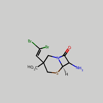 NC1C(=O)N2CC(C=C(Br)Br)(C(=O)O)CS[C@H]12